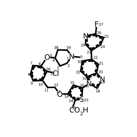 CN1CCC(Oc2cccc(CCOc3cc(-n4cnc5cc(-c6ccc(F)nc6)ccc54)sc3C(=O)O)c2Cl)CC1